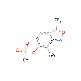 CCCc1c(OS(=O)(=O)C(F)(F)F)ccc2c(C(F)(F)F)onc12